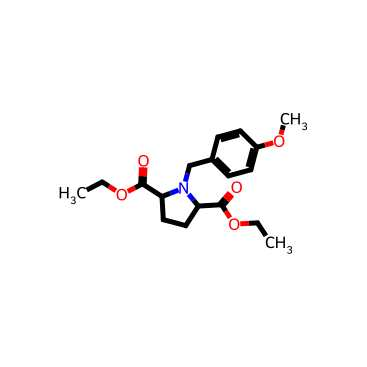 CCOC(=O)C1CCC(C(=O)OCC)N1Cc1ccc(OC)cc1